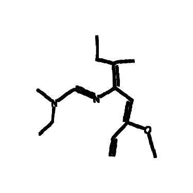 C=C\C(=C/C(/N=C/N(C)CC)=C(\C)CC)OC